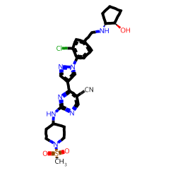 CS(=O)(=O)N1CCC(Nc2ncc(C#N)c(-c3cnn(-c4ccc(CN[C@@H]5CCC[C@H]5O)cc4Cl)c3)n2)CC1